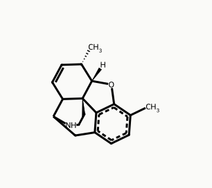 Cc1ccc2c3c1O[C@H]1[C@@H](C)C=CC4C(C2)NCC[C@@]341